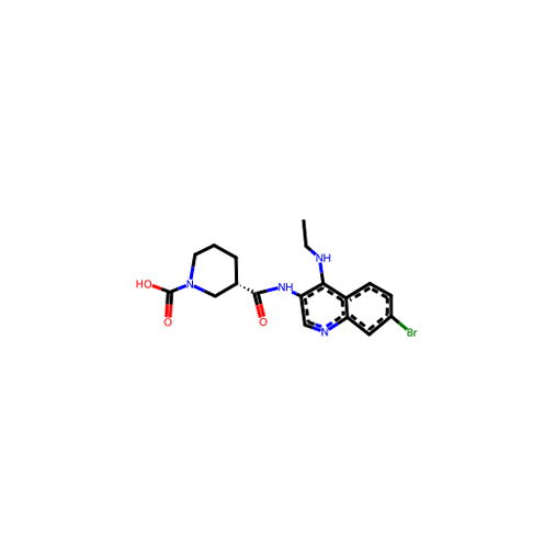 CCNc1c(NC(=O)[C@H]2CCCN(C(=O)O)C2)cnc2cc(Br)ccc12